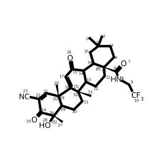 CC1(C)CC[C@]2(C(=O)NCC(F)(F)F)CCC3C(C(=O)C=C4[C@@]5(C)C=C(C#N)C(=O)[C@@](C)(O)C5CC[C@]43C)C2C1